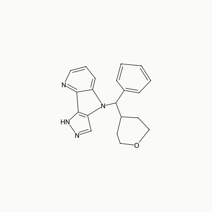 c1ccc(C(C2CCOCC2)n2c3cccnc3c3[nH]ncc32)cc1